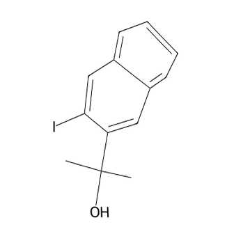 CC(C)(O)c1cc2ccccc2cc1I